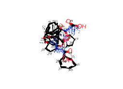 CC(C(N)=O)[C@@]1(C)Cc2ccc(cc2)[C@@]1(C(=O)NC(=O)O)N1CCCC1N(c1ccccc1)C1CCCN1[C@]1(C(=O)NC(=O)O)c2ccc(cc2)C[C@]1(C)C(C)C(N)=O